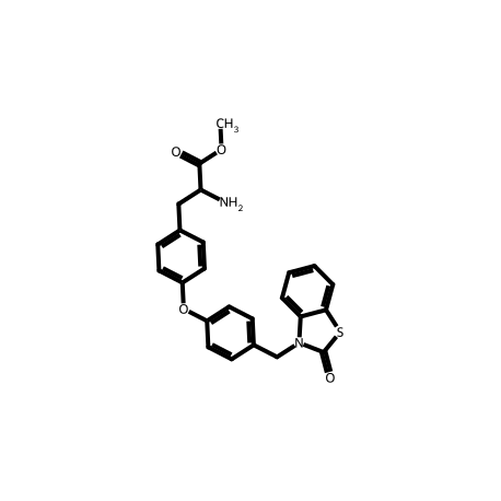 COC(=O)C(N)Cc1ccc(Oc2ccc(Cn3c(=O)sc4ccccc43)cc2)cc1